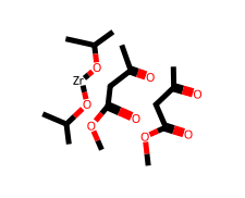 CC(C)[O][Zr][O]C(C)C.COC(=O)CC(C)=O.COC(=O)CC(C)=O